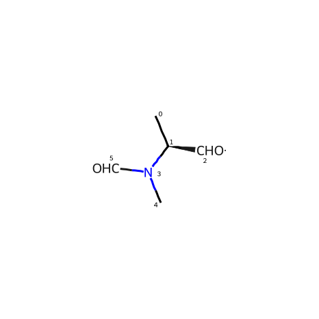 C[C@@H]([C]=O)N(C)C=O